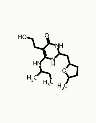 CCC(C)NC1=C(CCO)C(=O)NC(CC2CCC(C)O2)N1